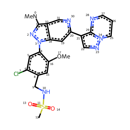 CNc1nn(-c2cc(Cl)c(CNS(C)(=O)=O)cc2OC)c2cc(-c3cnn4cccnc34)ncc12